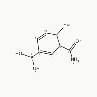 NC(=O)C1C=C(B(O)O)C=CC1F